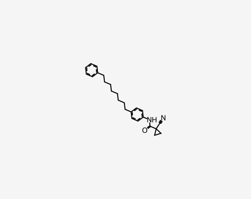 N#CC1(C(=O)Nc2ccc(CCCCCCCCc3ccccc3)cc2)CC1